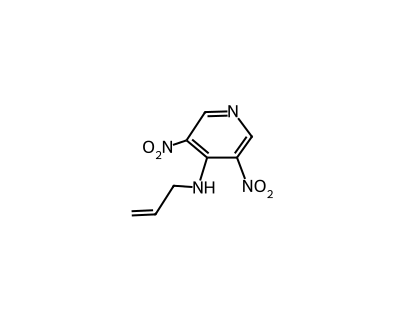 C=CCNc1c([N+](=O)[O-])cncc1[N+](=O)[O-]